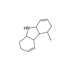 CC1CC=CC2NC3CCC=CC3C12